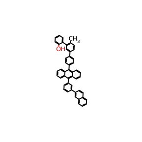 Cc1ccc(-c2ccc(-c3c4ccccc4c(-c4cccc(-c5ccc6ccccc6c5)c4)c4ccccc34)cc2)cc1-c1ccccc1O